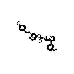 COc1ccc(CC[N+]23CCC(CC2)C(OC(=O)NCc2sccc2-c2cccc(F)c2)C3)cc1